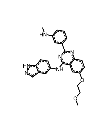 CNc1cccc(-c2nc(Nc3ccc4[nH]ncc4c3)c3cc(OCCOC)ccc3n2)c1